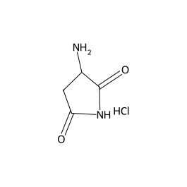 Cl.NC1CC(=O)NC1=O